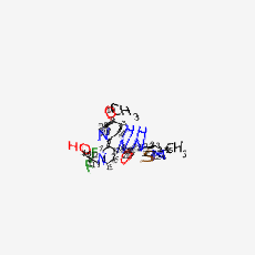 COc1ccc([C@@H]2CN(CC(F)(F)CO)CC[C@H]2NC(=O)Nc2cc(C)ns2)nc1